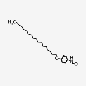 CCCCCCCCCCCCCCCCCCOc1ccc(NC=O)cc1